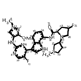 COc1nn(C)cc1Nc1ncc(F)c(-c2c[nH]c3c(NC(=O)C4CC(F)CN4C4CCN(C)C4)cccc23)n1